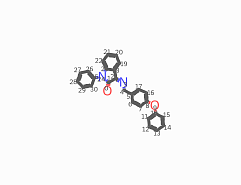 O=C1/C(=N\Cc2ccc(Oc3ccccc3)cc2)c2ccccc2N1c1ccccc1